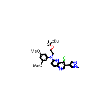 COc1cc(OC)cc(N(CCO[Si](C)(C)C(C)(C)C)c2ccc3ncc(-c4cnn(C)c4)c(Cl)c3n2)c1